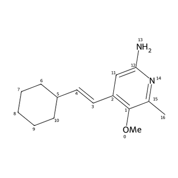 COc1c(/C=C/C2CCCCC2)cc(N)nc1C